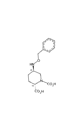 O=C(O)[C@@H]1CC[C@@H](NOCc2ccccc2)CN1C(=O)O